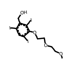 COCCOCCOc1c(I)cc(I)c(CO)c1I